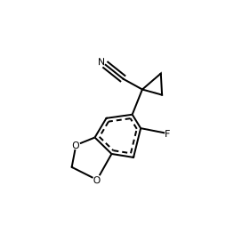 N#CC1(c2cc3c(cc2F)OCO3)CC1